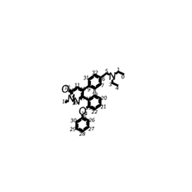 CCN(CC)Cc1ccc(-c2cc(=O)n(C)nc2-c2ccccc2Oc2ccccc2)cc1